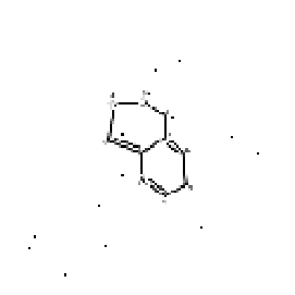 C1=CC2=C[N]OCC2=CC1